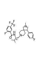 CC(C)[C@H](CN1CCC2(CC1)CN(C)CC2c1ccc(F)cc1)NC(=O)c1cc(C(F)(F)F)ccc1F